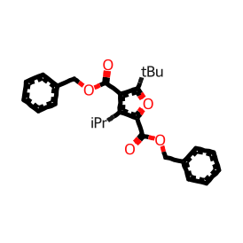 CC(C)c1c(C(=O)OCc2ccccc2)oc(C(C)(C)C)c1C(=O)OCc1ccccc1